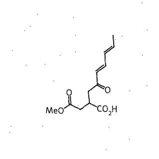 CC=CC=CC(=O)CC(CC(=O)OC)C(=O)O